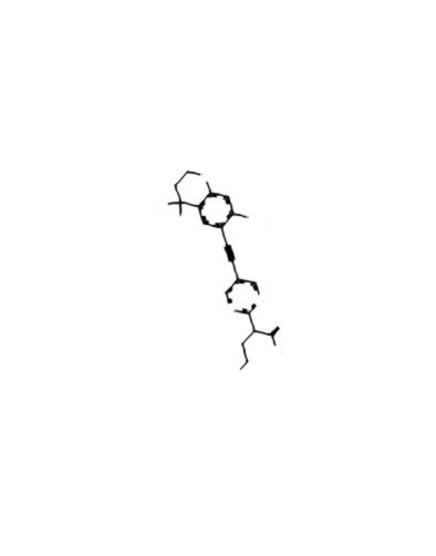 CCCC(C(=O)O)c1ncc(C#Cc2cc3c(cc2C)SCCC3(C)C)cn1